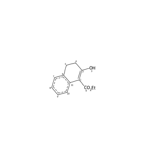 CCOC(=O)C1=C(O)CCc2ccccc21